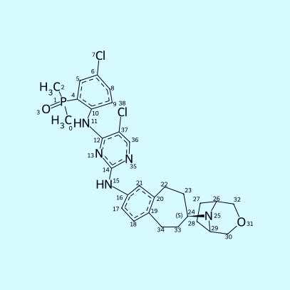 CP(C)(=O)c1cc(Cl)ccc1Nc1nc(Nc2ccc3c(c2)CC[C@@H](N2C4CCC2COC4)CC3)ncc1Cl